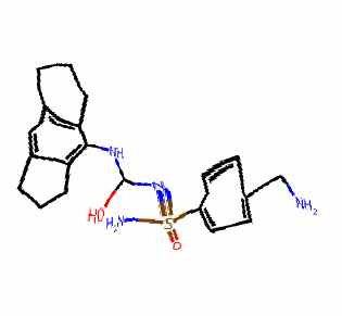 NCc1ccc(S(N)(=O)=NC(O)Nc2c3c(cc4c2CCC4)CCC3)cc1